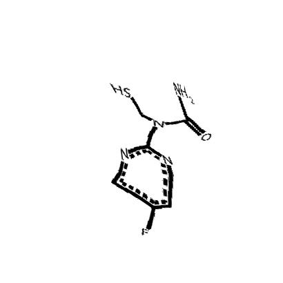 NC(=O)N(S)c1ncc(F)cn1